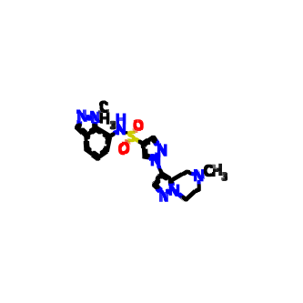 CN1CCn2ncc(-n3cc(S(=O)(=O)Nc4cccc5cnn(C)c45)cn3)c2C1